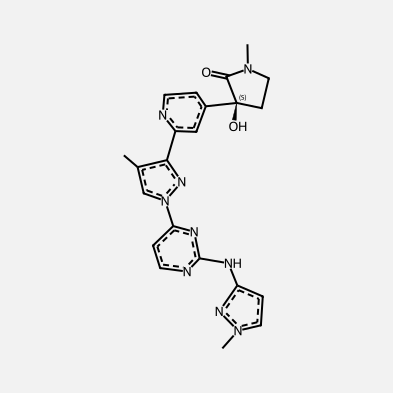 Cc1cn(-c2ccnc(Nc3ccn(C)n3)n2)nc1-c1cc([C@@]2(O)CCN(C)C2=O)ccn1